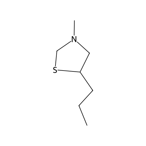 CCCC1CN(C)CS1